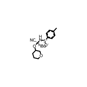 CC[C@@H](C)[C@](C#N)(N[S+]([O-])c1ccc(C)cc1)OC1CCCOC1